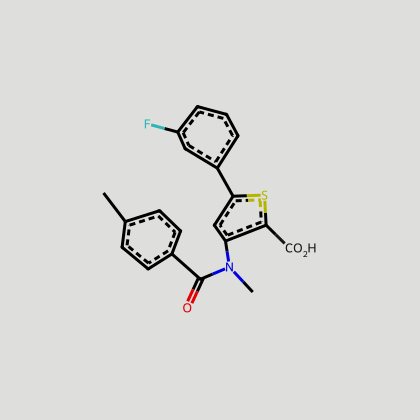 Cc1ccc(C(=O)N(C)c2cc(-c3cccc(F)c3)sc2C(=O)O)cc1